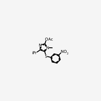 CC(=O)Oc1nc(C(C)C)c(Sc2cccc([N+](=O)[O-])c2)n1C